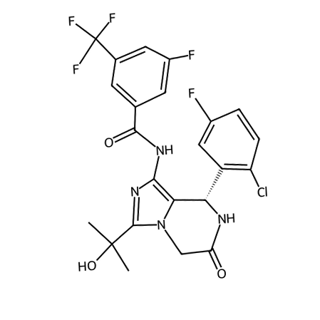 CC(C)(O)c1nc(NC(=O)c2cc(F)cc(C(F)(F)F)c2)c2n1CC(=O)N[C@H]2c1cc(F)ccc1Cl